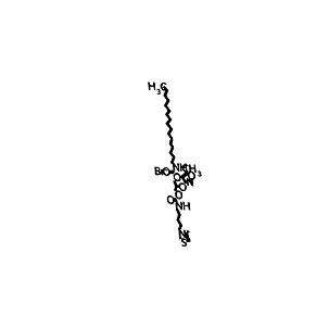 CCCCCCCCCCCCCCCCCNC(=O)OCC(COC(=O)NCCCCC[n+]1ccsc1)Oc1cc(C)on1.[Br-]